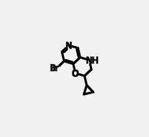 Brc1cncc2c1OC(C1CC1)CN2